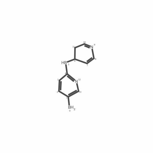 Bc1ccc(BC2C=CN=CC2)nc1